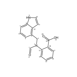 O=CN(Cc1c[c]cc2[nH]ccc12)c1ccccc1C(=O)O